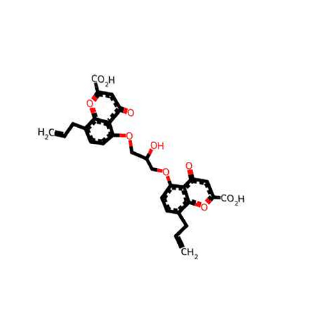 C=CCc1ccc(OCC(O)COc2ccc(CC=C)c3oc(C(=O)O)cc(=O)c23)c2c(=O)cc(C(=O)O)oc12